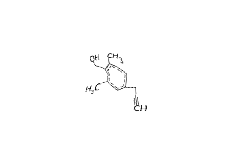 C#CCc1cc(C)c(CO)c(C)c1